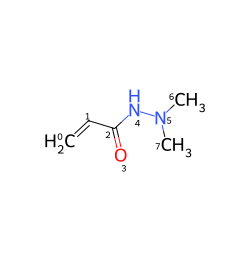 C=CC(=O)NN(C)C